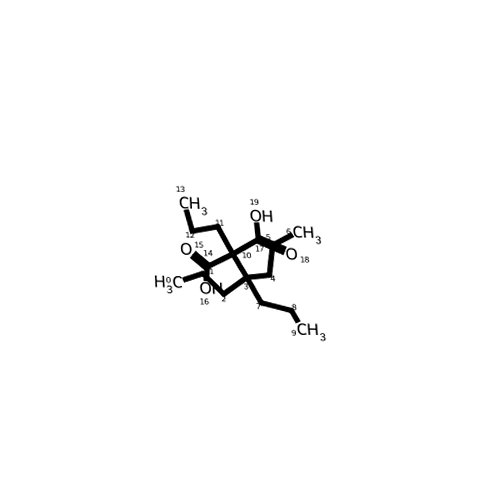 CCCC(CCC)(CCC)C(CCC)(C(=O)O)C(=O)O